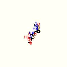 CC(=O)OCC1=C(C(=O)O)N2C(=O)C(NC(=O)Cc3ccccc3NC(=S)N3CCN(C)C3=O)[C@H]2SC1